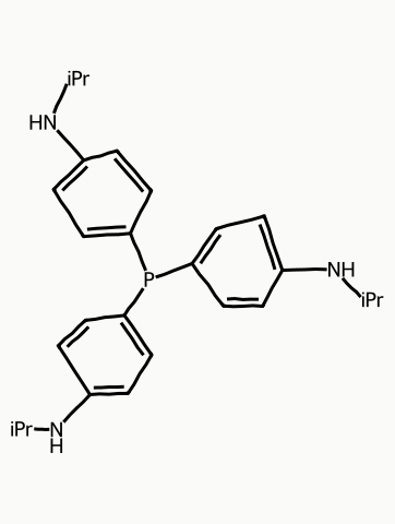 CC(C)Nc1ccc(P(c2ccc(NC(C)C)cc2)c2ccc(NC(C)C)cc2)cc1